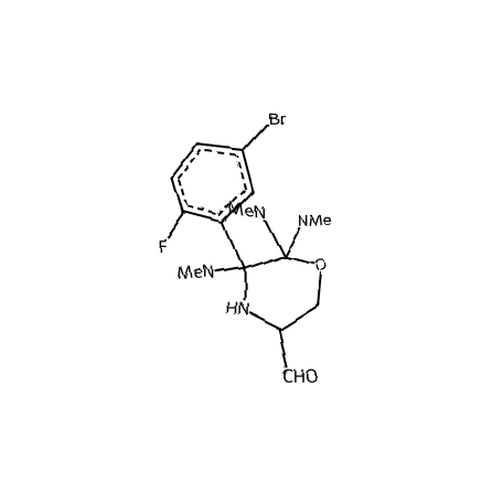 CNC1(NC)OCC(C=O)NC1(NC)c1cc(Br)ccc1F